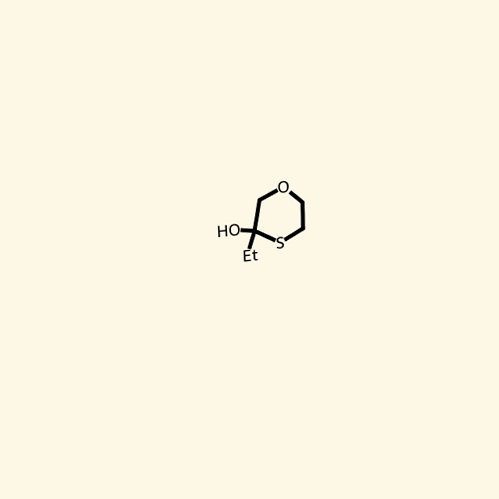 CCC1(O)COCCS1